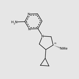 CN[C@H]1CN(c2ccnc(N)n2)CC1C1CC1